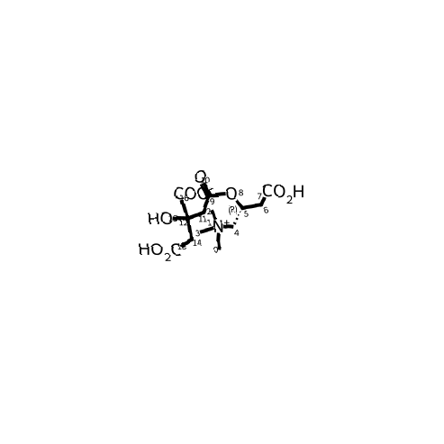 C[N+](C)(C)C[C@@H](CC(=O)O)OC(=O)CC(O)(CC(=O)O)C(=O)[O-]